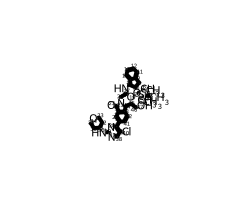 CC(C)(C)[Si](C)(C)O[C@@H]1Cc2ccccc2[C@@H]1NC(=O)CN1C(=O)c2cc(-c3nc(NC4CCOCC4)ncc3Cl)ccc2C1CCO